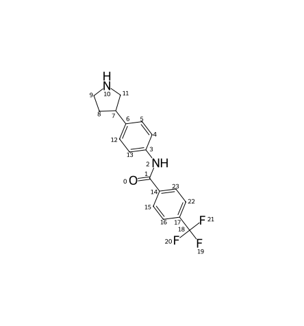 O=C(Nc1ccc(C2CCNC2)cc1)c1ccc(C(F)(F)F)cc1